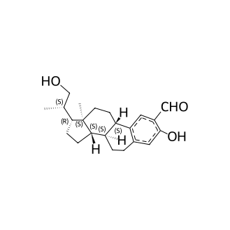 C[C@H](CO)[C@H]1CC[C@H]2[C@@H]3CCc4cc(O)c(C=O)cc4[C@H]3CC[C@]12C